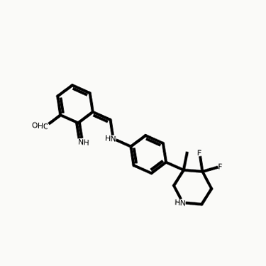 CC1(c2ccc(N/C=C3/C=CC=C(C=O)C3=N)cc2)CNCCC1(F)F